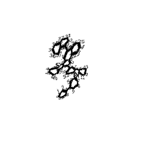 c1ccc(-c2cccc(-n3c4ccccc4c4cc(-c5cc6c7ccccc7c(-c7cccc8ccccc78)cc6c6sc7ccccc7c56)ccc43)c2)cc1